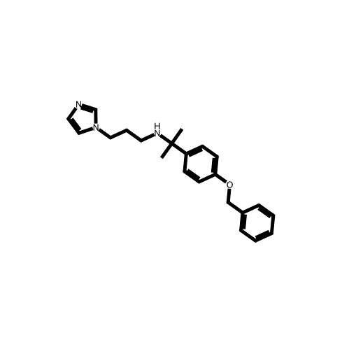 CC(C)(NCCCn1ccnc1)c1ccc(OCc2ccccc2)cc1